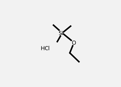 CCO[Si](C)(C)C.Cl